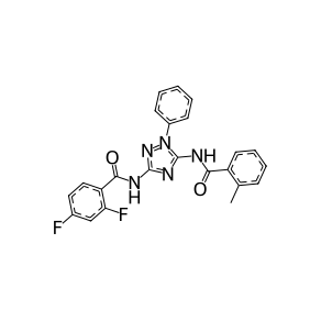 Cc1ccccc1C(=O)Nc1nc(NC(=O)c2ccc(F)cc2F)nn1-c1ccccc1